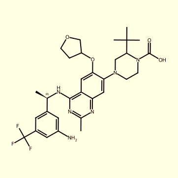 Cc1nc(N[C@H](C)c2cc(N)cc(C(F)(F)F)c2)c2cc(OC3CCOC3)c(N3CCN(C(=O)O)C(C(C)(C)C)C3)cc2n1